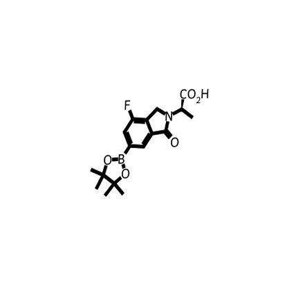 C[C@H](C(=O)O)N1Cc2c(F)cc(B3OC(C)(C)C(C)(C)O3)cc2C1=O